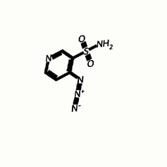 [N-]=[N+]=Nc1ccncc1S(N)(=O)=O